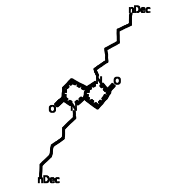 CCCCCCCCCCCCCCCCn1c(=O)ccc2c1ccc(=O)n2CCCCCCCCCCCCCCCC